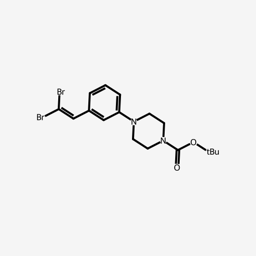 CC(C)(C)OC(=O)N1CCN(c2cccc(C=C(Br)Br)c2)CC1